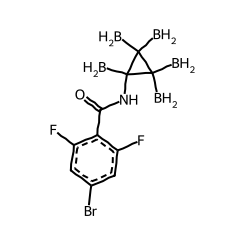 BC1(B)C(B)(B)C1(B)NC(=O)c1c(F)cc(Br)cc1F